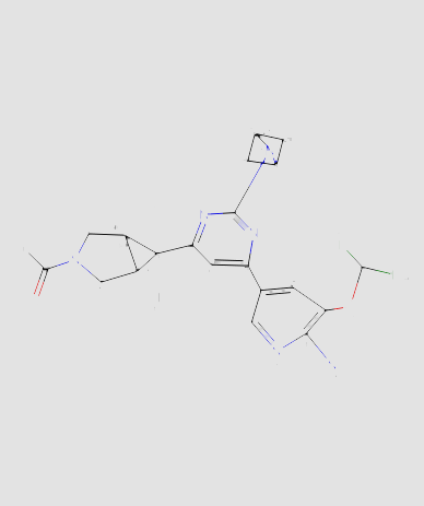 CCC(=O)N1C[C@@H]2C(c3cc(-c4cnc(N)c(OC(F)F)c4)nc(N4CC5CC4C5)n3)[C@@H]2C1